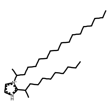 CCCCCCCCCCCCCCCCC(C)[n+]1cc[nH]c1C(C)CCCCCCCCC